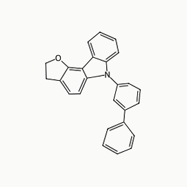 c1ccc(-c2cccc(-n3c4ccccc4c4c5c(ccc43)CCO5)c2)cc1